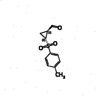 Cc1ccc(S(=O)(=O)[C@@H]2C[C@H]2C=O)cc1